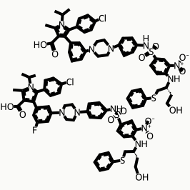 Cc1c(C(=O)O)c(-c2cc(F)cc(N3CCN(c4ccc(NS(=O)(=O)c5ccc(N[C@H](CCO)CSc6ccccc6)c([N+](=O)[O-])c5)cc4)CC3)c2)c(-c2ccc(Cl)cc2)n1C(C)C.Cc1c(C(=O)O)c(-c2cccc(N3CCN(c4ccc(NS(=O)(=O)c5ccc(N[C@H](CCO)CSc6ccccc6)c([N+](=O)[O-])c5)cc4)CC3)c2)c(-c2ccc(Cl)cc2)n1C(C)C